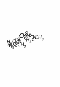 CN(C)CC1CN(S(=O)(=O)c2cccc(B3OC(C)(C)C(C)(C)O3)c2)C1